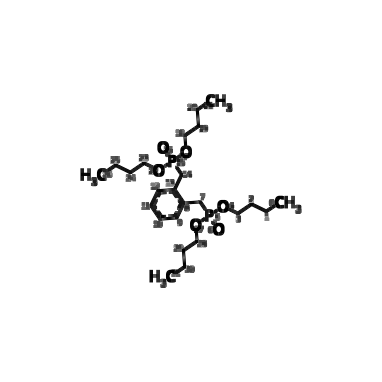 CCCCOP(=O)(Cc1ccccc1CP(=O)(OCCCC)OCCCC)OCCCC